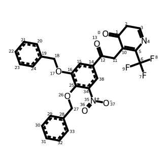 O=C1CC=NC(C(F)(F)F)=C1CC(=O)c1cc(OCc2ccccc2)c(OCc2ccccc2)c([N+](=O)[O-])c1